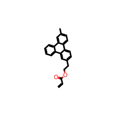 C=CC(=O)OCCc1ccc2c3ccc(C)cc3c3ccccc3c2c1